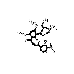 COc1cc(OC)c2c(=O)cc(-c3cccc([N+](=O)[O-])c3Cl)oc2c1C1CCN(C)C1CO